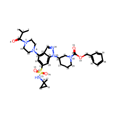 CC(C)C(=O)N1CCN(c2cc(S(=O)(=O)NC3(C)CC3)cc3c2cnn3C2CCCN(C(=O)OCc3ccccc3)C2)CC1